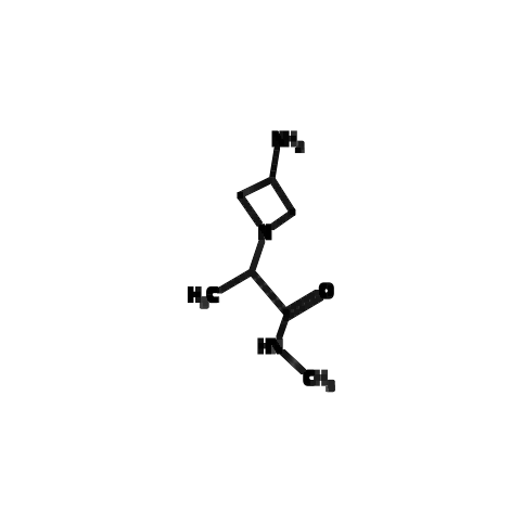 CNC(=O)C(C)N1CC(N)C1